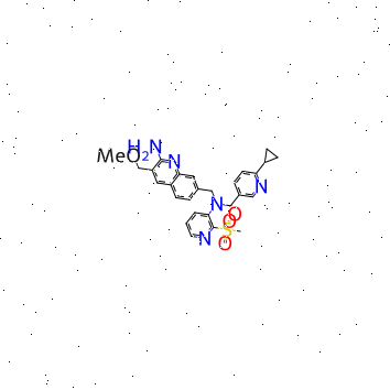 COCc1cc2ccc(CN(C(=O)c3ccc(C4CC4)nc3)c3cccnc3S(C)(=O)=O)cc2nc1N